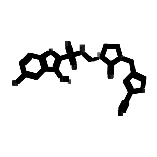 Cc1c(S(=O)(=O)NC[C@@H]2CCN(Cc3csc(C#N)c3)C2=O)sc2ccc(Cl)cc12